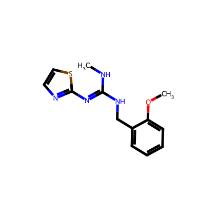 CNC(=Nc1nccs1)NCc1ccccc1OC